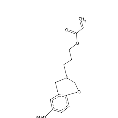 C=CC(=O)OCCCN1COc2ccc(OC)cc2C1